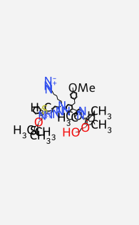 COc1ccc(Cc2cc(N(CCCCCN=[N+]=[N-])c3cc(C)c(/N=c4\sc5ccccc5n4COCC[Si](C)(C)C)nn3)nc(C(=O)O)c2-c2cnn(CC34CC5(C)CC(C)(C3)CC(OCCO)(C5)C4)c2C)cc1